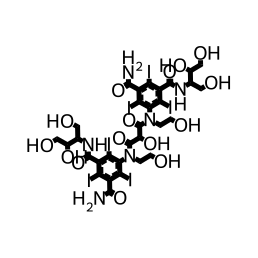 NC(=O)c1c(I)c(C(=O)NC(CO)C(O)CO)c(I)c(N(CCO)C(=O)C(O)C(=O)N(CCO)c2c(I)c(C(N)=O)c(I)c(C(=O)NC(CO)C(O)CO)c2I)c1I